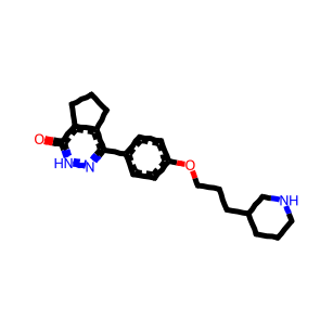 O=c1[nH]nc(-c2ccc(OCCCC3CCCNC3)cc2)c2c1CCC2